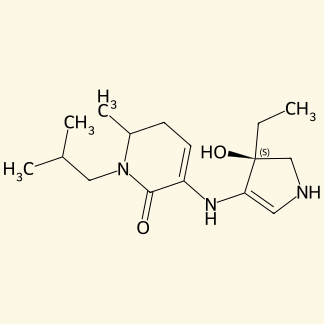 CC[C@]1(O)CNC=C1NC1=CCC(C)N(CC(C)C)C1=O